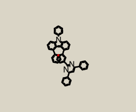 c1ccc(-c2cc(-c3ccccc3)nc(-c3cccc(-c4cccc5c4c4c(-c6ccccc6)cccc4n5-c4ccccc4)c3)n2)cc1